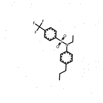 CCCc1ccc(N(CC)S(=O)(=O)c2ccc(C(F)(F)F)cc2)cc1